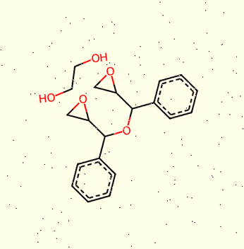 OCCO.c1ccc(C(OC(c2ccccc2)C2CO2)C2CO2)cc1